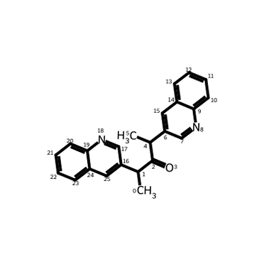 CC(C(=O)C(C)c1cnc2ccccc2c1)c1cnc2ccccc2c1